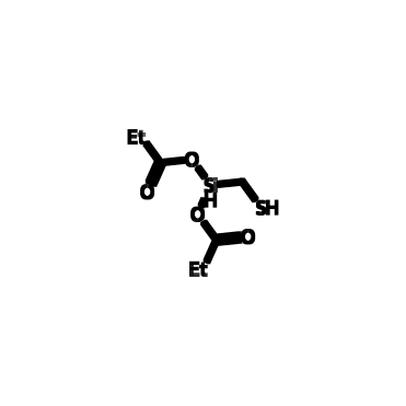 CCC(=O)O[SiH](CS)OC(=O)CC